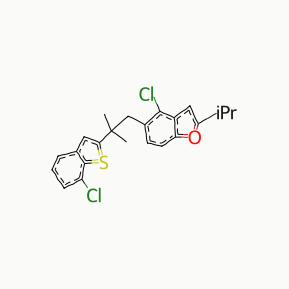 CC(C)c1cc2c(Cl)c(CC(C)(C)c3cc4cccc(Cl)c4s3)ccc2o1